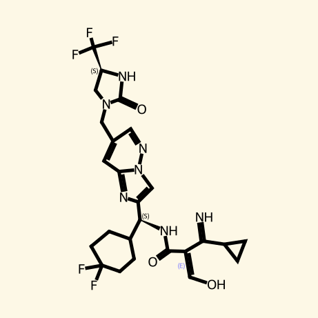 N=C(/C(=C\O)C(=O)N[C@H](c1cn2ncc(CN3C[C@@H](C(F)(F)F)NC3=O)cc2n1)C1CCC(F)(F)CC1)C1CC1